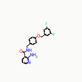 Nc1ncccc1C(=O)NCc1ccc(OCc2cc(F)cc(F)c2)cc1